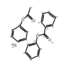 CC(=O)Oc1ccccc1.O=C(Oc1ccccc1)c1ccccc1.[Hg]